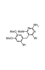 CNc1nc(N)nc(C(C)C)c1Cc1cc(OC)c(OC)cc1C(C)C